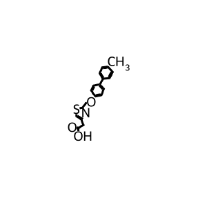 Cc1ccc(-c2ccc(OCc3nc(CC(=O)O)cs3)cc2)cc1